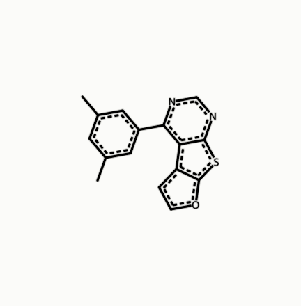 Cc1cc(C)cc(-c2ncnc3sc4occc4c23)c1